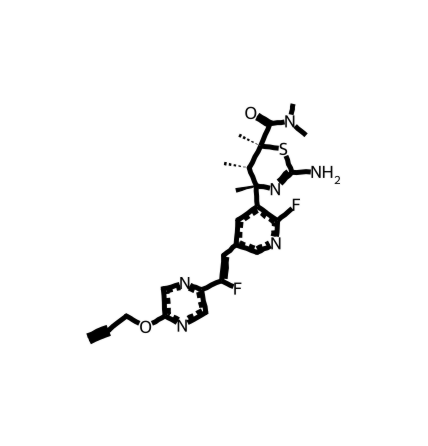 C#CCOc1cnc(/C(F)=C/c2cnc(F)c([C@@]3(C)N=C(N)S[C@](C)(C(=O)N(C)C)[C@H]3C)c2)cn1